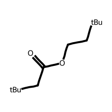 CC(C)(C)CCOC(=O)CC(C)(C)C